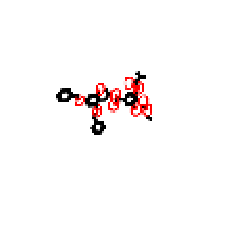 CCOC1Oc2cc(C(=O)O[C@H]3COc4cc(OCc5ccccc5)cc(OCc5ccccc5)c4C3)cc(OC(=O)C(C)C)c2O1